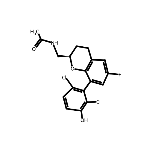 CC(=O)NC[C@H]1CCc2cc(F)cc(-c3c(Cl)ccc(O)c3Cl)c2O1